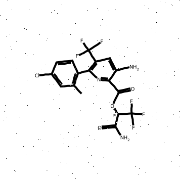 Cc1cc(Cl)ccc1-c1nc(C(=O)O[C@H](C(N)=O)C(F)(F)F)c(N)cc1C(F)(F)F